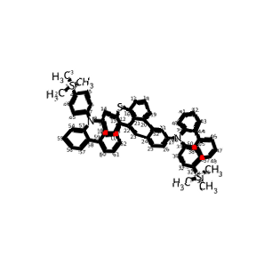 C[Si](C)(C)c1ccc(N(c2ccc3c(c2)Sc2cccc4c2c-3cc2ccc(N(c3ccc([Si](C)(C)C)cc3)c3ccccc3-c3ccccc3)cc24)c2ccccc2-c2ccccc2)cc1